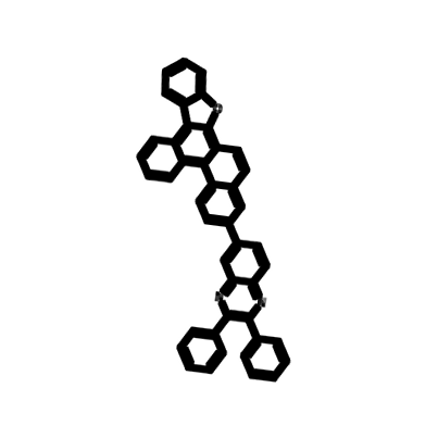 c1ccc(-c2nc3ccc(-c4ccc5c(ccc6c7oc8ccccc8c7c7ccccc7c56)c4)cc3nc2-c2ccccc2)cc1